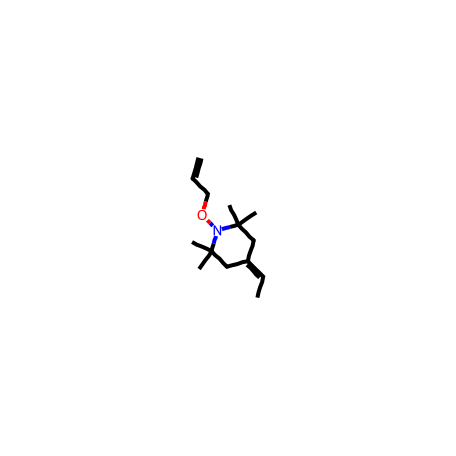 C=CCON1C(C)(C)CC(=CC)CC1(C)C